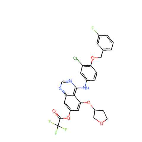 O=C(Oc1cc(OC2CCOC2)c2c(Nc3ccc(OCc4cccc(F)c4)c(Cl)c3)ncnc2c1)C(F)(F)F